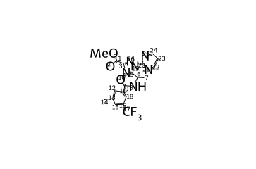 COC(=O)c1nc(C(C)NC(=O)c2cc(C)cc(C(F)(F)F)c2)n(-c2ncccn2)n1